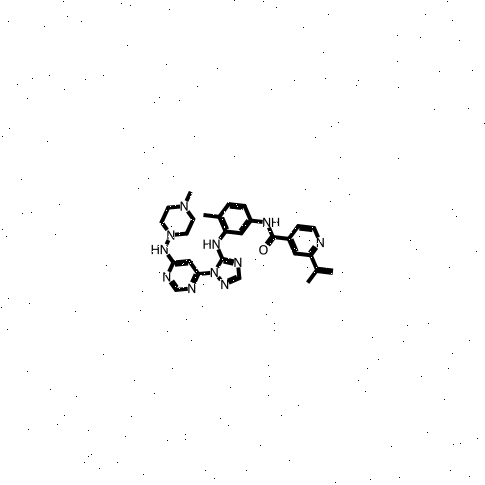 C=C(C)c1cc(C(=O)Nc2ccc(C)c(Nc3ncnn3-c3cc(NN4CCN(C)CC4)ncn3)c2)ccn1